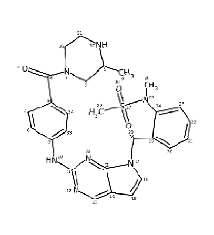 CC1CN(C(=O)c2ccc(Nc3ncc4ccn(Cc5ccccc5N(C)S(C)(=O)=O)c4n3)cc2)CCN1